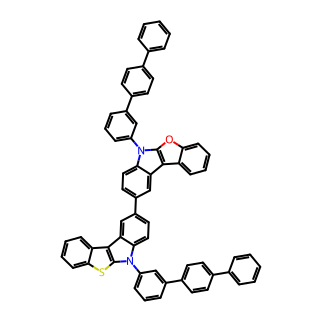 c1ccc(-c2ccc(-c3cccc(-n4c5ccc(-c6ccc7c(c6)c6c8ccccc8sc6n7-c6cccc(-c7ccc(-c8ccccc8)cc7)c6)cc5c5c6ccccc6oc54)c3)cc2)cc1